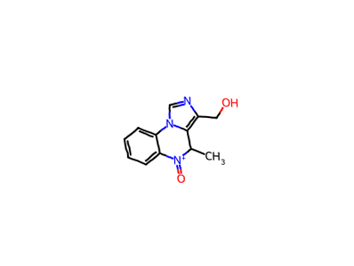 CC1c2c(CO)ncn2-c2ccccc2[N+]1=O